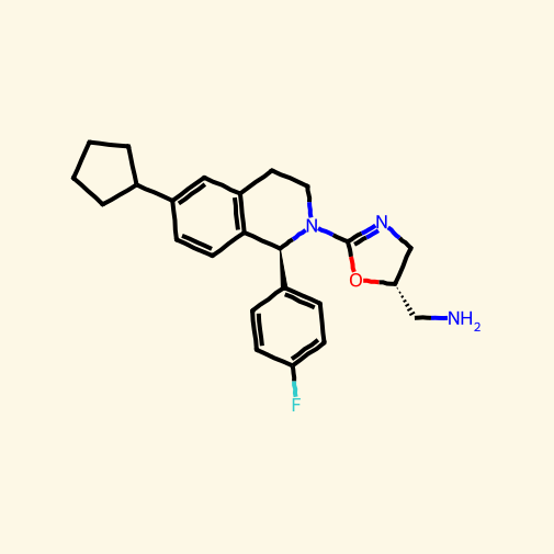 NC[C@H]1CN=C(N2CCc3cc(C4CCCC4)ccc3[C@@H]2c2ccc(F)cc2)O1